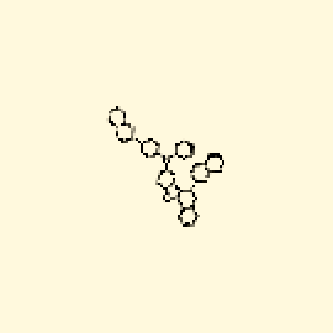 c1ccc(N(c2ccc(-c3ccc4ccccc4c3)cc2)c2ccc3oc4c5ccccc5cc(-c5ccc6ccccc6c5)c4c3c2)cc1